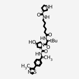 Cc1ncsc1-c1ccc([C@H](C)NC(=O)[C@@H]2C[C@@H](O)CN2C(=O)[C@@H](NC(=O)CCCCCNC(=O)[C@H]2CCNC2)C(C)(C)C)cc1